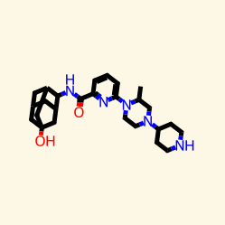 CC1CN(C2CCNCC2)CCN1c1cccc(C(=O)NC2C3CC4CC2CC(O)(C4)C3)n1